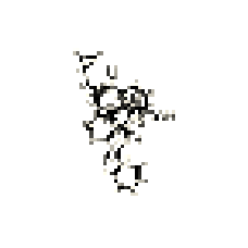 COc1ccc2c3c1O[C@H]1[C@@]4(O)C=C[C@@]5(C[C@@H]4C(=O)NCc4ccccc4)[C@@H](C2)N(CC2CC2)CC[C@]315